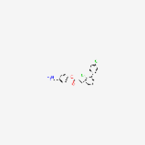 NCc1ccc(OC(=O)CCc2cccc(-c3ccc(Cl)cc3)c2Cl)cc1